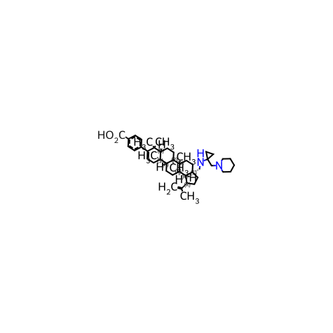 C=C(C)[C@@H]1CC[C@]2(CNC3(CN4CCCCC4)CC3)CC[C@]3(C)[C@H](CC[C@@H]4[C@@]5(C)CC=C(c6ccc(C(=O)O)cc6)C(C)(C)[C@@H]5CC[C@]43C)[C@@H]12